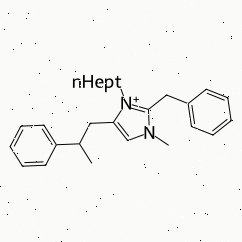 CCCCCCC[n+]1c(CC(C)c2ccccc2)cn(C)c1Cc1ccccc1